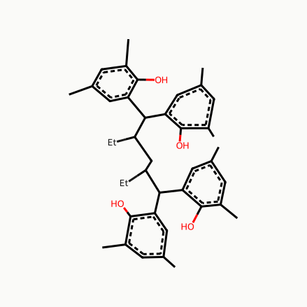 CCC(CC(CC)C(c1cc(C)cc(C)c1O)c1cc(C)cc(C)c1O)C(c1cc(C)cc(C)c1O)c1cc(C)cc(C)c1O